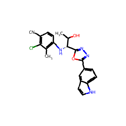 [C-]#[N+]c1ccc(N[C@@H](c2nnc(-c3ccc4[nH]ccc4c3)o2)C(C)O)c(C)c1Cl